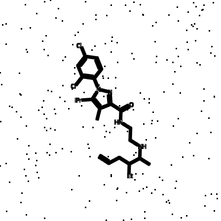 C=CCC(CC)C(C)NCCNC(=O)c1nn(-c2ccc(Cl)cc2Cl)c(C(C)C)c1C